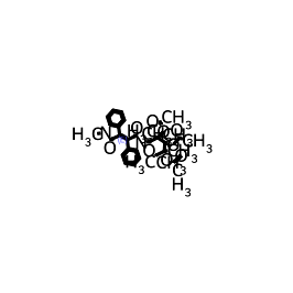 CC(=O)OC1(C)C(C)(C)OC(C)(N2C(=O)/C(=C3/C(=O)N(C)c4ccccc43)c3ccccc32)C(C)(OC(C)=O)C1(C)OC(C)=O